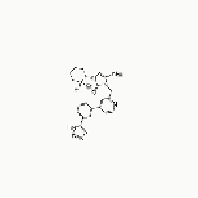 CCCCc1cn(C2CCCCC2(CC)CC)c(=O)n1Cc1cc(-c2cccc(-c3nnn[nH]3)c2)ccn1